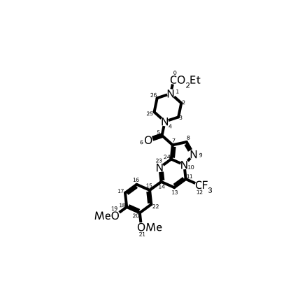 CCOC(=O)N1CCN(C(=O)c2cnn3c(C(F)(F)F)cc(-c4ccc(OC)c(OC)c4)nc23)CC1